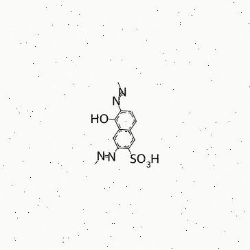 CN=Nc1cc2c(O)c(N=NC)ccc2cc1S(=O)(=O)O